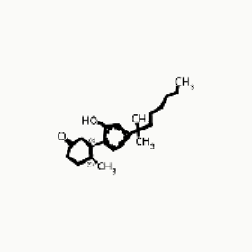 CCCCCCC(C)(C)c1ccc([C@@H]2CC(=O)CC[C@@H]2C)c(O)c1